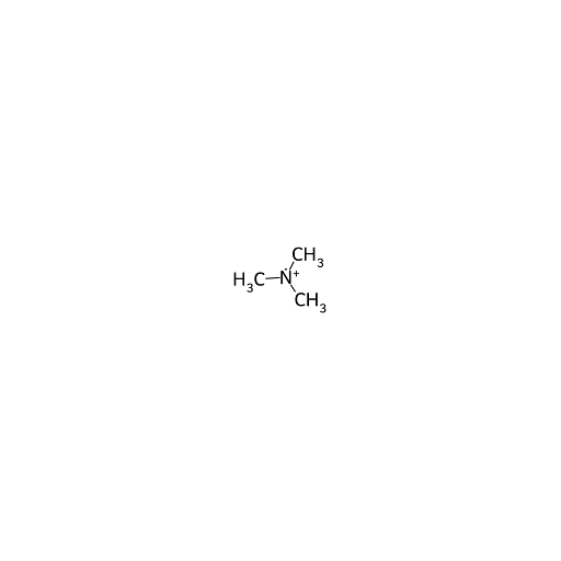 C[N+](C)C